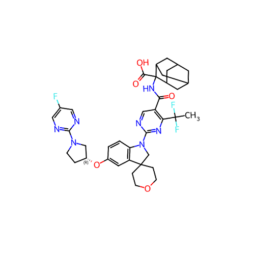 CC(F)(F)c1nc(N2CC3(CCOCC3)c3cc(O[C@@H]4CCN(c5ncc(F)cn5)C4)ccc32)ncc1C(=O)NC1(C(=O)O)C2CC3CC(C2)CC1C3